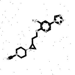 Cc1cc(-n2cnnn2)cnc1OCCC1C[C@@H]1C1CCN(C#N)CC1